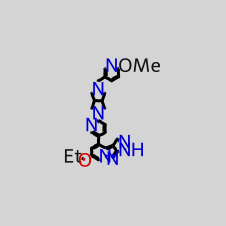 CCOc1cc(-c2ccc(N3CC4CN(Cc5ccc(OC)nc5)CC4C3)nc2)c2c3cn[nH]c3nn2c1